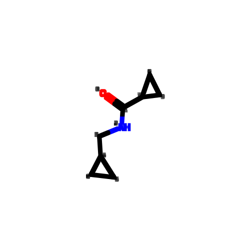 O=C(NCC1CC1)C1CC1